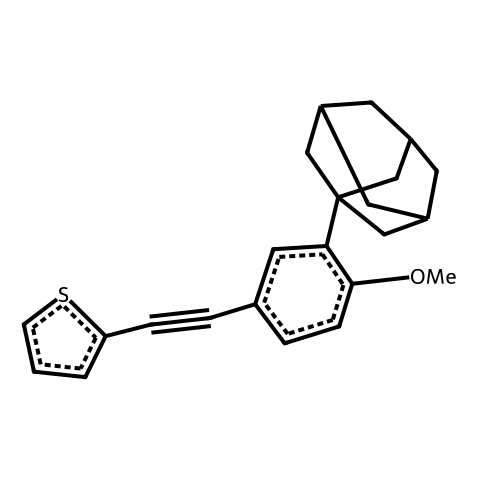 COc1ccc(C#Cc2cccs2)cc1C12CC3CC(CC(C3)C1)C2